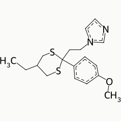 CCC1CSC(CCn2ccnc2)(c2ccc(OC)cc2)SC1